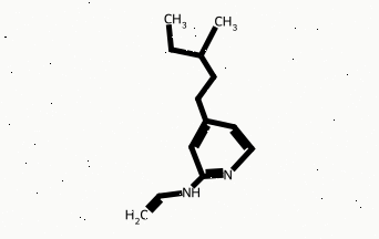 C=CNc1cc(CCC(C)CC)ccn1